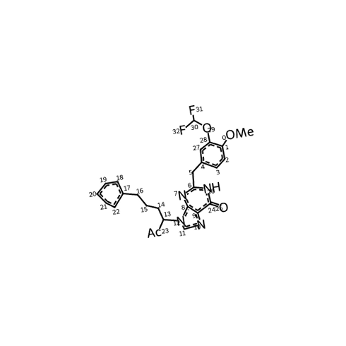 COc1ccc(Cc2nc3c(ncn3C(CCCc3ccccc3)C(C)=O)c(=O)[nH]2)cc1OC(F)F